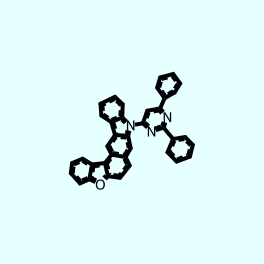 c1ccc(-c2cc(-n3c4ccccc4c4cc5c(ccc6oc7ccccc7c65)cc43)nc(-c3ccccc3)n2)cc1